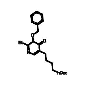 CCCCCCCCCCCCCCC1=CN=C(CC)C(OCc2ccccc2)C1=O